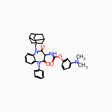 CN(C)c1cccc(OC(=O)NC2C(=O)N(CC34CC5CC(CC(C5)C3)C4)c3ccccc3N(c3ccccc3)C2=O)c1